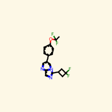 CC(F)(F)Oc1ccc(-c2cnc3cnc(C4CC(F)(F)C4)n3c2)cc1